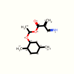 C=C(C=N)C(=O)OC(C)OC1CC(C)CCC1C